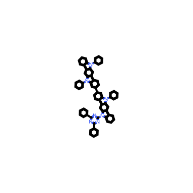 c1ccc(-c2nc(-c3ccccc3)nc(-n3c4ccccc4c4cc5c(cc43)c3ccc(-c4ccc6c7cc8c(cc7n(-c7ccccc7)c6c4)c4ccccc4n8-c4ccccc4)cc3n5-c3ccccc3)n2)cc1